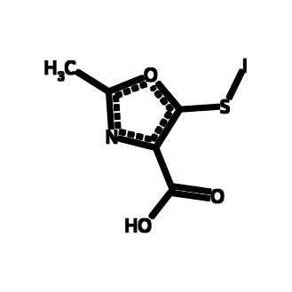 Cc1nc(C(=O)O)c(SI)o1